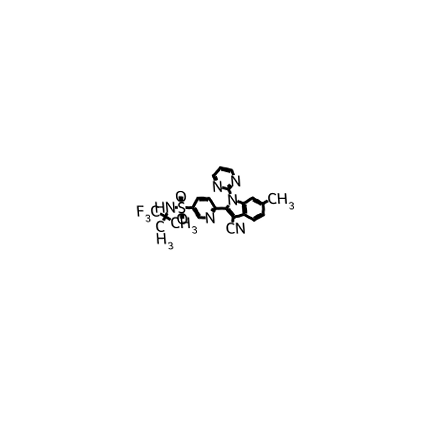 Cc1ccc2c(C#N)c(-c3ccc(S(=O)(=O)NC(C)(C)C(F)(F)F)cn3)n(-c3ncccn3)c2c1